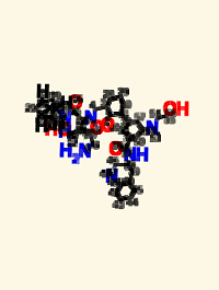 COc1c(CN2O[C@@H](CN)[C@@H]([C@H](C)O)[C@H]2C(=O)N[C@H]2C[C@H]3C[C@@H]([C@@H]2C)C3(C)C)cccc1-c1cc(C(=O)N[C@@H](Cc2ccccc2)CN(C)C)cc(N(C)CCO)c1